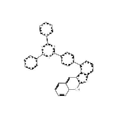 C1=CC2=Cc3c(oc4cccc(-c5ccc(-c6nc(-c7ccccc7)nc(-c7ccccc7)n6)cc5)c34)NC2C=C1